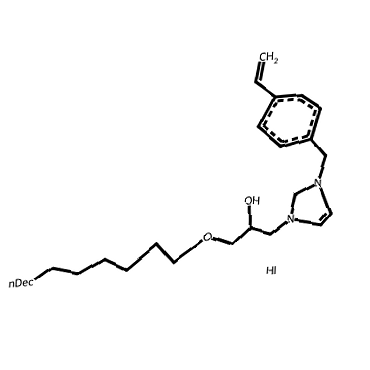 C=Cc1ccc(CN2C=CN(CC(O)COCCCCCCCCCCCCCCCC)C2)cc1.I